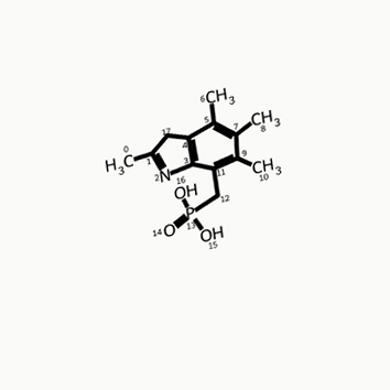 CC1=Nc2c(c(C)c(C)c(C)c2CP(=O)(O)O)C1